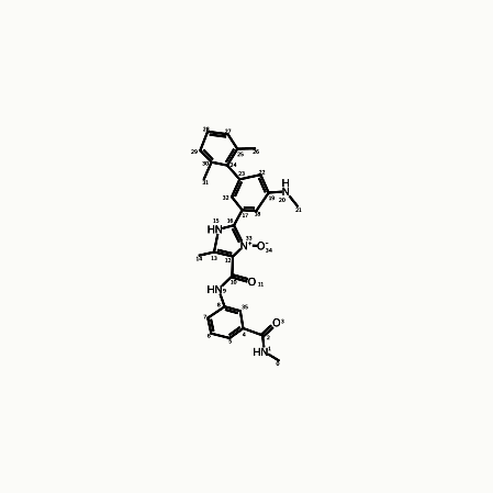 CNC(=O)c1cccc(NC(=O)c2c(C)[nH]c(-c3cc(NC)cc(-c4c(C)cccc4C)c3)[n+]2[O-])c1